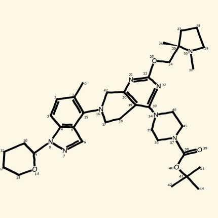 Cc1ccc2c(cnn2C2CCCCO2)c1N1CCc2c(nc(OC[C@]3(C)CCCN3C)nc2N2CCN(C(=O)OC(C)(C)C)CC2)C1